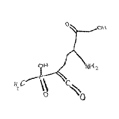 CP(=O)(O)C(=C=O)CC(N)C(=O)O